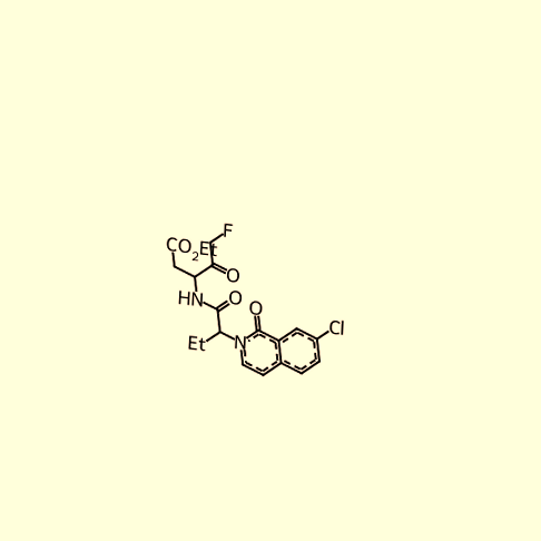 CCOC(=O)CC(NC(=O)C(CC)n1ccc2ccc(Cl)cc2c1=O)C(=O)CF